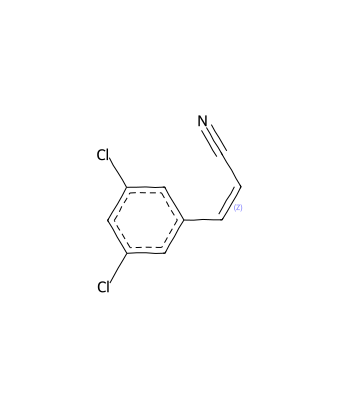 N#C/C=C\c1cc(Cl)cc(Cl)c1